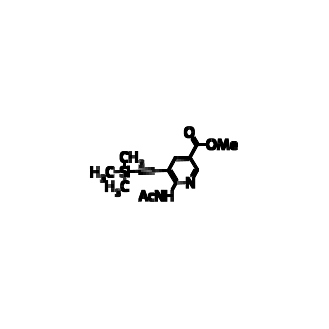 COC(=O)c1cnc(NC(C)=O)c(C#C[Si](C)(C)C)c1